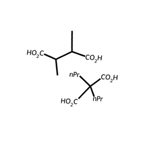 CC(C(=O)O)C(C)C(=O)O.CCCC(CCC)(C(=O)O)C(=O)O